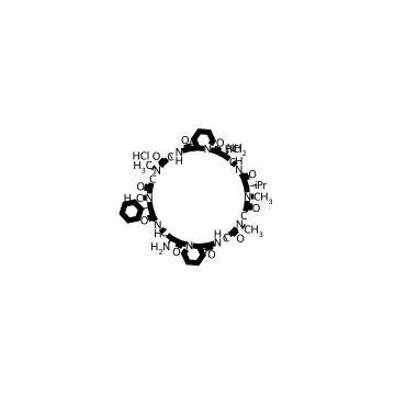 CC(C)[C@H]1C(=O)NC[C@@H](N)C(=O)N2CCCC[C@H]2C(=O)NCC(=O)N(C)CC(=O)N(C)[C@@H](C2CCCCC2)C(=O)NC[C@@H](N)C(=O)N2CCCC[C@H]2C(=O)NCC(=O)N(C)CC(=O)N1C.Cl.Cl